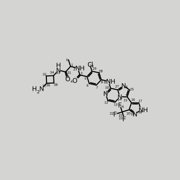 CC(NC(=O)c1ccc(Nc2nccn3c(-c4c[nH]nc4C(F)(F)F)cnc23)cc1Cl)C(=O)NC1CC(N)C1